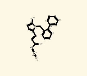 CCc1ccc(/C=C/C(=O)N=[N+]=[N-])n1Cc1ccccc1-c1ccccc1